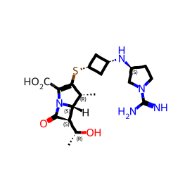 C[C@@H](O)[C@H]1C(=O)N2C(C(=O)O)=C(S[C@H]3C[C@@H](N[C@H]4CCN(C(=N)N)C4)C3)[C@H](C)[C@H]12